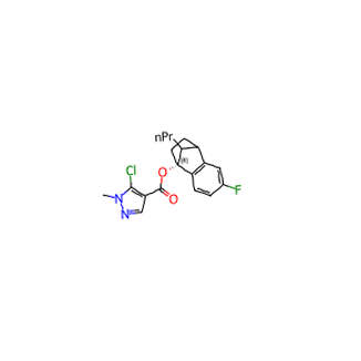 CCCC1C2CC[C@]1(OC(=O)c1cnn(C)c1Cl)c1ccc(F)cc12